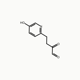 O=CC(=O)CCc1ccc(O)cn1